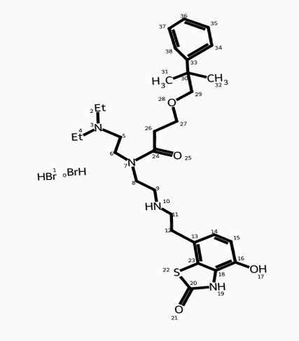 Br.Br.CCN(CC)CCN(CCNCCc1ccc(O)c2[nH]c(=O)sc12)C(=O)CCOCC(C)(C)c1ccccc1